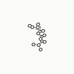 c1ccc(-c2cc(-c3ccccc3)cc(-n3c4ccccc4c4c5c6ccccc6n(-c6cccc7c6c6ccccc6n7-c6nc(-c7ccc8ccccc8c7)c7ccccc7n6)c5ccc43)c2)cc1